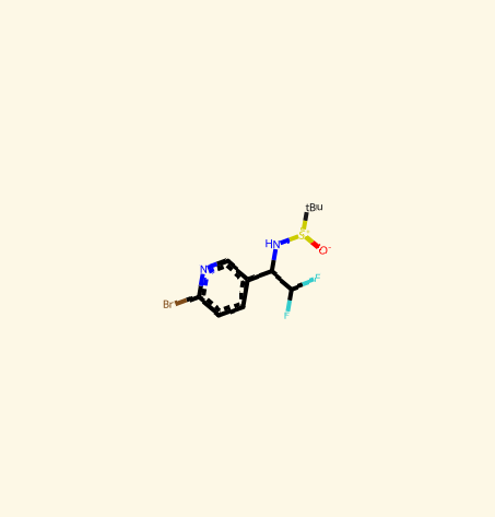 CC(C)(C)[S+]([O-])NC(c1ccc(Br)nc1)C(F)F